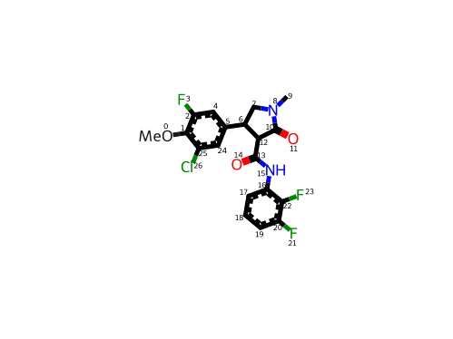 COc1c(F)cc(C2CN(C)C(=O)C2C(=O)Nc2cccc(F)c2F)cc1Cl